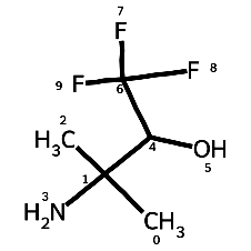 CC(C)(N)C(O)C(F)(F)F